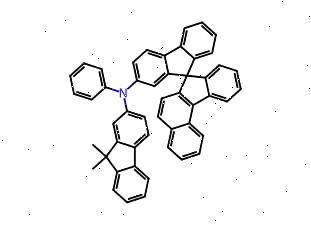 CC1(C)c2ccccc2-c2ccc(N(c3ccccc3)c3ccc4c(c3)C3(c5ccccc5-4)c4ccccc4-c4c3ccc3ccccc43)cc21